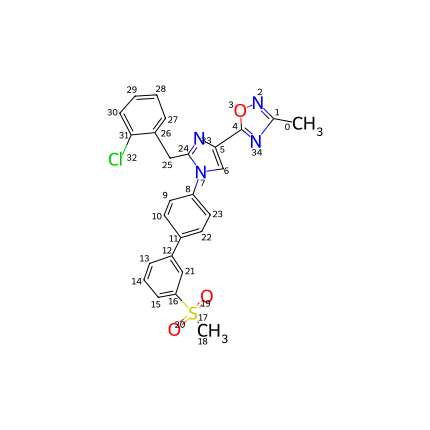 Cc1noc(-c2cn(-c3ccc(-c4cccc(S(C)(=O)=O)c4)cc3)c(Cc3ccccc3Cl)n2)n1